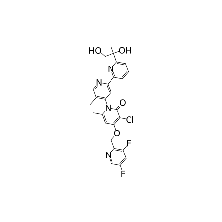 Cc1cnc(-c2cccc(C(C)(O)CO)n2)cc1-n1c(C)cc(OCc2ncc(F)cc2F)c(Cl)c1=O